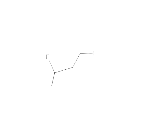 CC(F)CCF